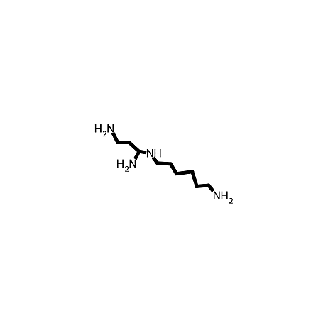 NCCCCCCNC(N)CCN